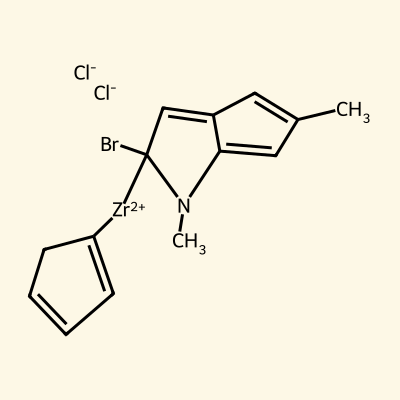 CC1=CC2=C[C](Br)([Zr+2][C]3=CC=CC3)N(C)C2=C1.[Cl-].[Cl-]